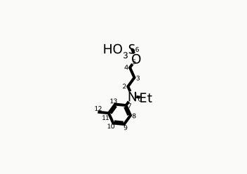 CCN(CCCOS(=O)(=O)O)c1cccc(C)c1